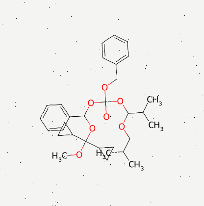 COC(OC(OC([O])(OCc1ccccc1)OC(OCC(C)C)C(C)C)c1ccccc1)(C1CC1)C1CC1